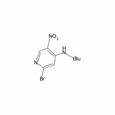 CC(C)(C)Nc1cc(Br)ncc1[N+](=O)[O-]